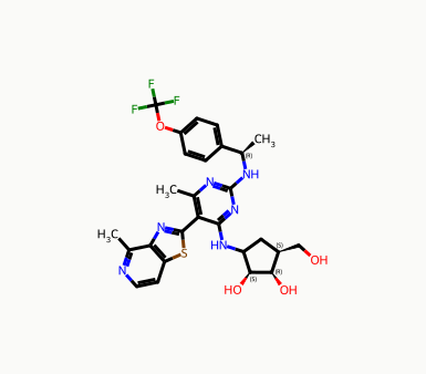 Cc1nc(N[C@H](C)c2ccc(OC(F)(F)F)cc2)nc(NC2C[C@@H](CO)[C@@H](O)[C@H]2O)c1-c1nc2c(C)nccc2s1